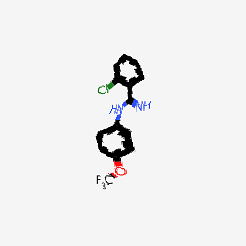 N=C(Nc1ccc(OC(F)(F)F)cc1)c1ccccc1Cl